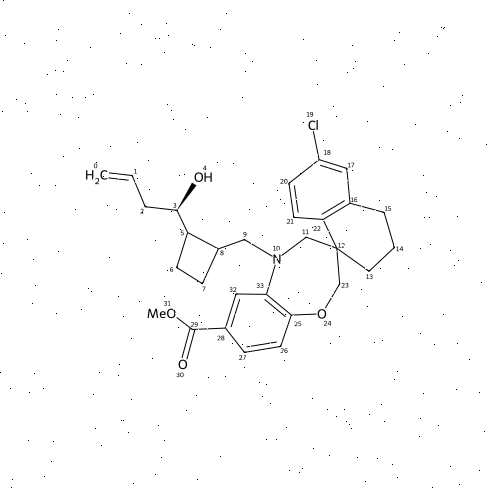 C=CC[C@@H](O)C1CCC1CN1CC2(CCCc3cc(Cl)ccc32)COc2ccc(C(=O)OC)cc21